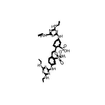 C=CNc1nc(NCC)nc(Nc2ccc(C=Cc3ccc(Nc4nc(NCC)nc(NCC)n4)cc3S(=O)(=O)O)c(S(=O)(=O)O)c2)n1